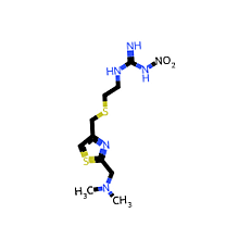 CN(C)Cc1nc(CSCCNC(=N)N[N+](=O)[O-])cs1